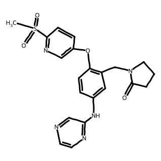 CS(=O)(=O)c1ccc(Oc2ccc(Nc3cnccn3)cc2CN2CCCC2=O)cn1